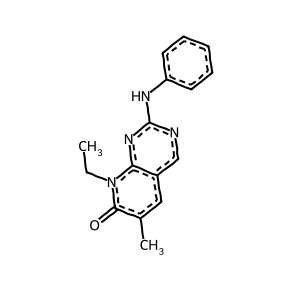 CCn1c(=O)c(C)cc2cnc(Nc3ccccc3)nc21